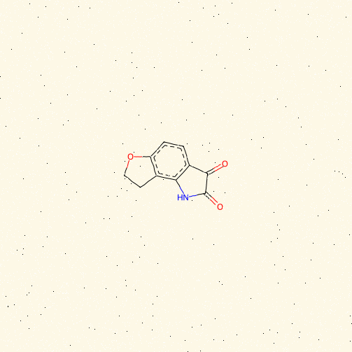 O=C1Nc2c(ccc3c2CCO3)C1=O